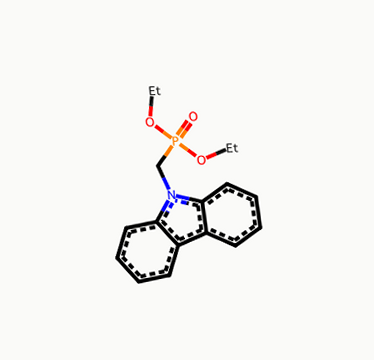 CCOP(=O)(Cn1c2ccccc2c2ccccc21)OCC